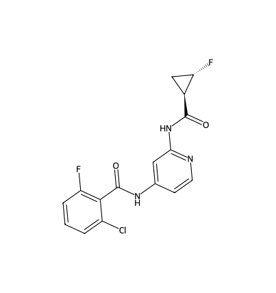 O=C(Nc1ccnc(NC(=O)[C@H]2C[C@@H]2F)c1)c1c(F)cccc1Cl